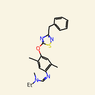 CCN(C)/C=N\c1cc(C)c(Oc2nc(Cc3ccccc3)ns2)cc1C